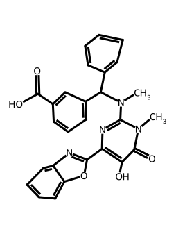 CN(c1nc(-c2nc3ccccc3o2)c(O)c(=O)n1C)C(c1ccccc1)c1cccc(C(=O)O)c1